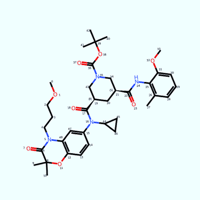 COCCCN1C(=O)C(C)(C)Oc2ccc(N(C(=O)[C@@H]3C[C@H](C(=O)Nc4c(C)cccc4OC)CN(C(=O)OC(C)(C)C)C3)C3CC3)cc21